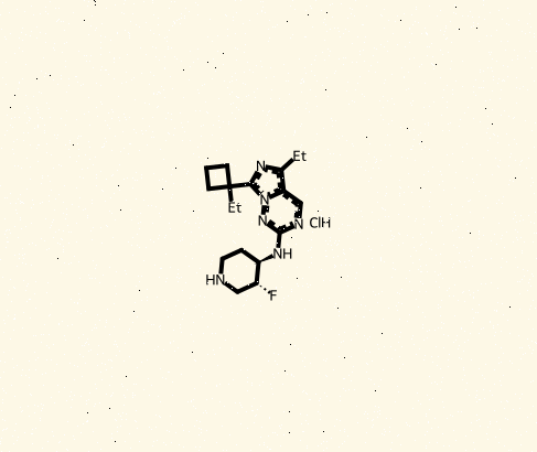 CCc1nc(C2(CC)CCC2)n2nc(N[C@@H]3CCNC[C@H]3F)ncc12.Cl